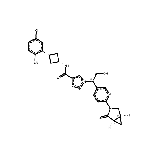 N#Cc1ccc(Cl)cc1[C@H]1C[C@@H](NC(=O)c2cn([C@@H](CO)c3ccc(N4C[C@H]5C[C@H]5C4=O)nc3)nn2)C1